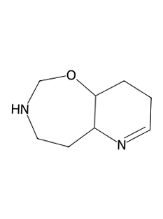 C1=NC2CCNCOC2CC1